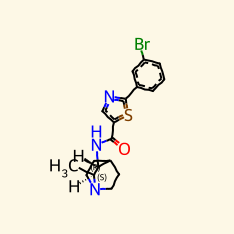 C[C@H]1[C@H](NC(=O)c2cnc(-c3cccc(Br)c3)s2)C2CCN1CC2